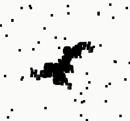 COc1ccccc1-c1cc(C)ncc1C(=O)Nc1nc2c(s1)CN(C(=O)c1cn(C)nn1)C2